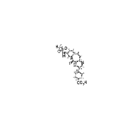 CS(=O)(=O)Nc1ccc2ccc3ncc(-c4ccc(C(=O)O)cc4)cc3c(=O)c2c1